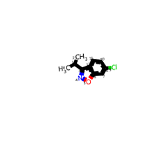 CC(C)c1noc2cc(Cl)ccc12